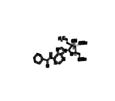 C=CC[C@]1(O)C(n2cnc3c(NC(=O)c4ccccc4)ncnc32)O[C@H](COC)[C@H]1OC